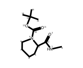 CNC(=O)C1CCCCN1C(=O)OC(C)(C)C